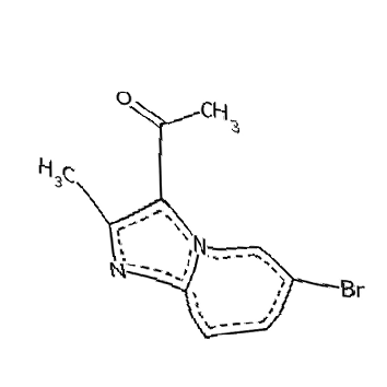 CC(=O)c1c(C)nc2ccc(Br)cn12